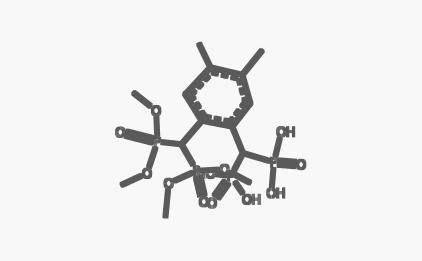 COP(=O)(OC)C(c1cc(C)c(C)cc1C(P(=O)(O)O)P(=O)(O)O)P(=O)(OC)OC